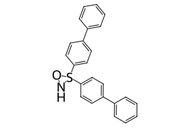 c1ccc(-c2ccc(S3(c4ccc(-c5ccccc5)cc4)NO3)cc2)cc1